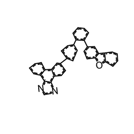 c1ccc(-c2ccc3oc4ccccc4c3c2)c(-c2ccc(-c3ccc4c(c3)c3ccccc3c3nccnc43)cc2)c1